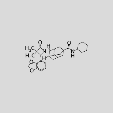 CC1(C)C(=O)N([C@@H]2C3CC4C[C@H]2C[C@@](C(=O)NC2CCCCC2)(C4)C3)C1c1cccc2c1OCO2